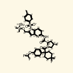 Cc1ccc(S(=O)(=O)n2c(CO[Si](C)(C)C(C)(C)C)cc3nc(NC(=O)[C@H]4C[C@@H](F)CN4C(=O)C4(c5ccc(OC(F)F)cc5)CCC(F)(F)CC4)ccc32)cc1